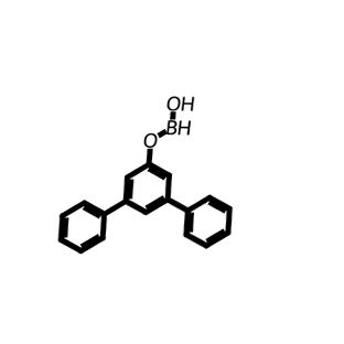 OBOc1cc(-c2ccccc2)cc(-c2ccccc2)c1